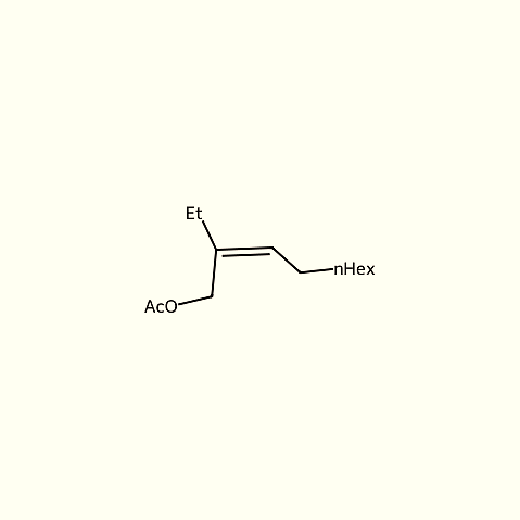 CCCCCCCC=C(CC)COC(C)=O